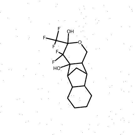 OC12C(COC(O)(C(F)(F)F)C1(F)F)C1CC2C2CCCCC12